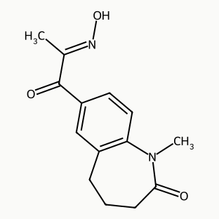 CC(=NO)C(=O)c1ccc2c(c1)CCCC(=O)N2C